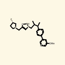 COc1cncc(-c2ccc(C(C)C(C)CN3C=C(CN4CC[C@H](F)C4)ON3)cc2)c1